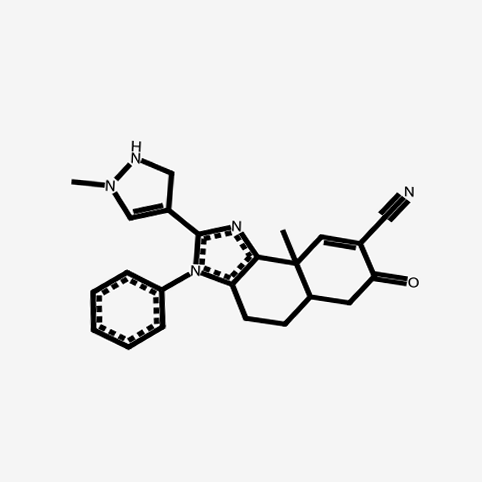 CN1C=C(c2nc3c(n2-c2ccccc2)CCC2CC(=O)C(C#N)=CC32C)CN1